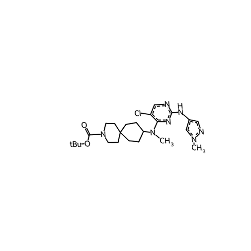 CN(c1nc(Nc2cnn(C)c2)ncc1Cl)C1CCC2(CC1)CCN(C(=O)OC(C)(C)C)CC2